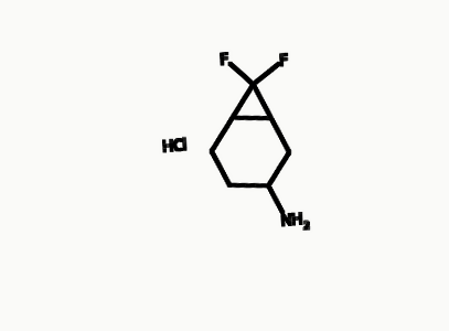 Cl.NC1CCC2C(C1)C2(F)F